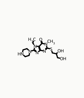 CCn1c(N2CCNCC2)nc2nc(SCC(O)CO)n(C)c(=O)c21